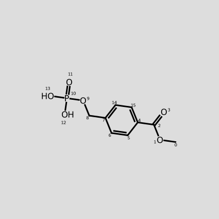 COC(=O)c1ccc(COP(=O)(O)O)cc1